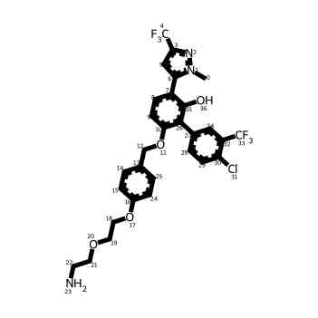 Cn1nc(C(F)(F)F)cc1-c1ccc(OCc2ccc(OCCOCCN)cc2)c(-c2ccc(Cl)c(C(F)(F)F)c2)c1O